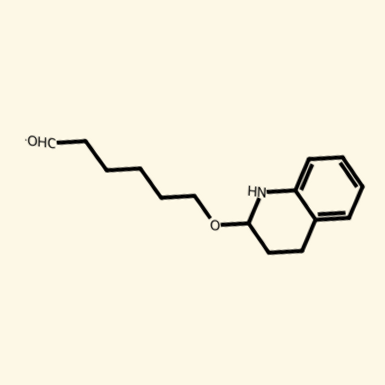 O=[C]CCCCCOC1CCc2ccccc2N1